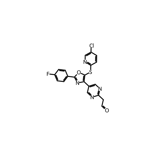 O=CCc1ncc(-c2nc(-c3ccc(F)cc3)oc2Sc2ccc(Cl)cn2)cn1